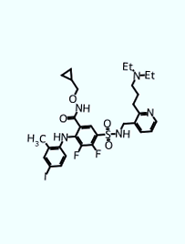 CCN(CC)CCCc1ncccc1CNS(=O)(=O)c1cc(C(=O)NOCC2CC2)c(Nc2ccc(I)cc2C)c(F)c1F